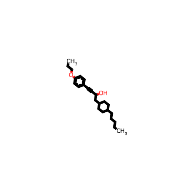 CCCCCC1CCC(CC(O)C#Cc2ccc(OCCC)cc2)CC1